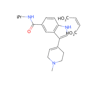 CC(C)NC(=O)c1ccc2[nH]cc(C3=CCN(C)CC3)c2c1.O=C(O)/C=C\C(=O)O